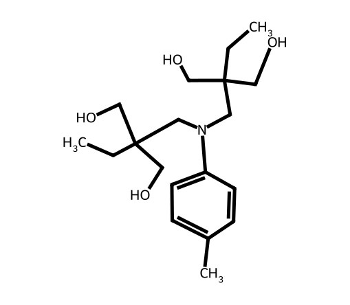 CCC(CO)(CO)CN(CC(CC)(CO)CO)c1ccc(C)cc1